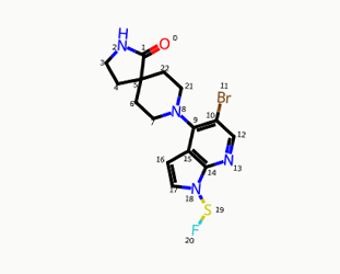 O=C1NCCC12CCN(c1c(Br)cnc3c1ccn3SF)CC2